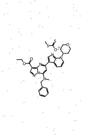 CCOC(=O)c1cnn2c(N(C)Cc3ccccc3)cc(-c3cnc4n(C5CCOC[C@H]5OC(=S)SC)cccc3-4)nc12